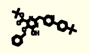 CC(C)(C)OC(=O)c1nc(Cc2ccc(-c3ccc(C(C)(C)C)cc3)nc2)nc(O)c1OCc1ccccc1